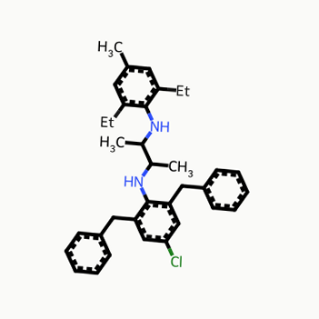 CCc1cc(C)cc(CC)c1NC(C)C(C)Nc1c(Cc2ccccc2)cc(Cl)cc1Cc1ccccc1